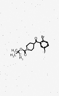 CC(C)(C)OC(=O)N1CCC(C(=O)c2cc(F)ccc2Br)CC1